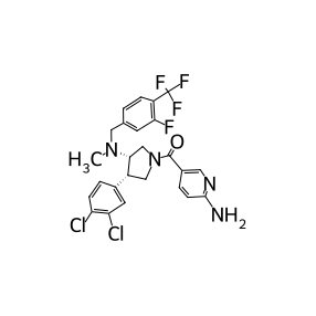 CN(Cc1ccc(C(F)(F)F)c(F)c1)[C@@H]1CN(C(=O)c2ccc(N)nc2)C[C@@H]1c1ccc(Cl)c(Cl)c1